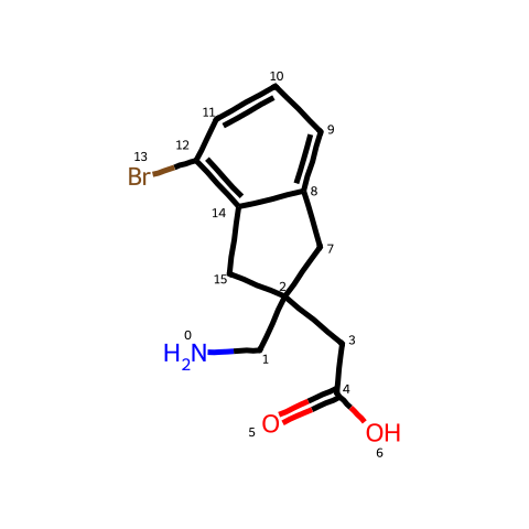 NCC1(CC(=O)O)Cc2cccc(Br)c2C1